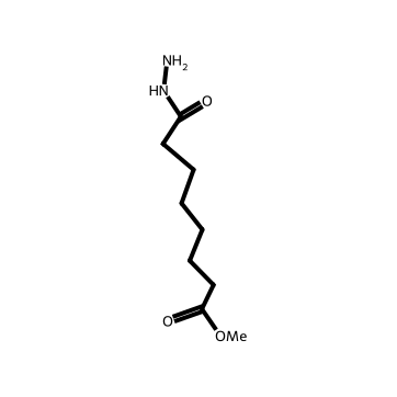 COC(=O)CCCCCCC(=O)NN